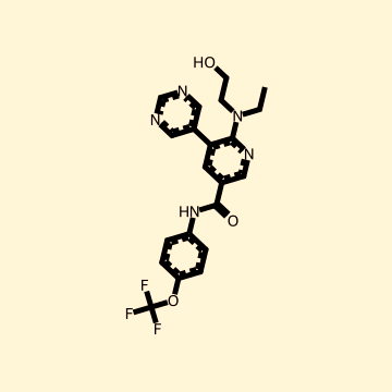 CCN(CCO)c1ncc(C(=O)Nc2ccc(OC(F)(F)F)cc2)cc1-c1cncnc1